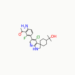 CC(=O)c1c(N)ccc(-c2cnc3c(c2Cl)C2(CCC(C(C)(C)O)CC2)CN3)c1F